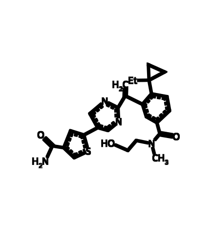 C=C(c1ncc(-c2cc(C(N)=O)cs2)cn1)c1cc(C(=O)N(C)CCO)ccc1C1(CC)CC1